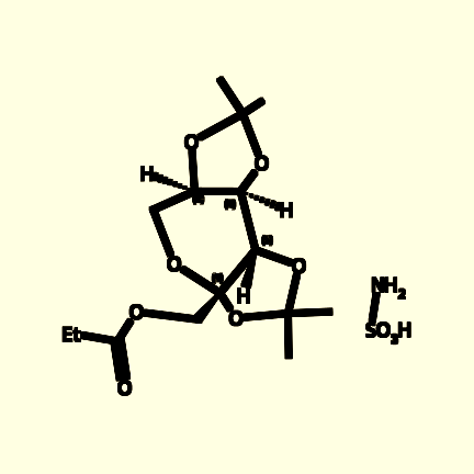 CCC(=O)OC[C@@]12OC[C@H]3OC(C)(C)O[C@H]3[C@@H]1OC(C)(C)O2.NS(=O)(=O)O